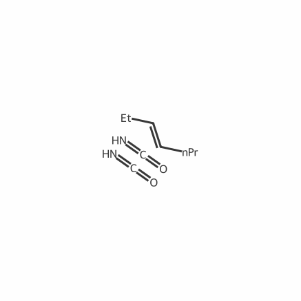 CCC=CCCC.N=C=O.N=C=O